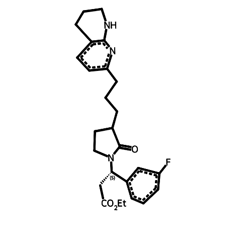 CCOC(=O)C[C@@H](c1cccc(F)c1)N1CCC(CCCc2ccc3c(n2)NCCC3)C1=O